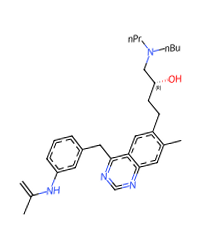 C=C(C)Nc1cccc(Cc2ncnc3cc(C)c(CC[C@@H](O)CN(CCC)CCCC)cc23)c1